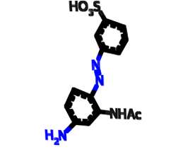 CC(=O)Nc1cc(N)ccc1N=Nc1cccc(S(=O)(=O)O)c1